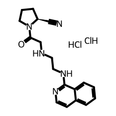 Cl.Cl.N#C[C@@H]1CCCN1C(=O)CNCCNc1nccc2ccccc12